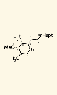 CCCCCCCCC[C@@H]1OC[C@@H](C)[C@H](OC)[C@@H]1N